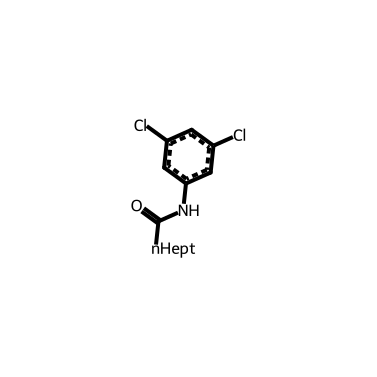 CCCCCCCC(=O)Nc1cc(Cl)cc(Cl)c1